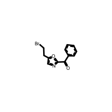 O=C(c1ccccc1)c1ncc(CCBr)o1